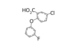 O=C(O)c1cc(Cl)ccc1Oc1cccc(F)c1